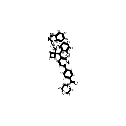 O=C(c1ccc(-c2ccc3c(n2)Oc2ccccc2C3C2(C(=O)On3nnc4ccccc43)CCC2)cc1)N1CCOCC1